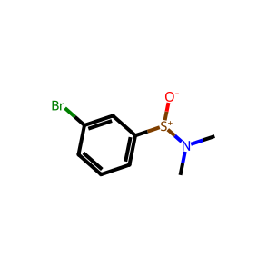 CN(C)[S+]([O-])c1cccc(Br)c1